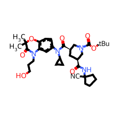 CC(C)(C)OC(=O)N1C[C@@H](C(=O)NC2(C#N)CCCC2)C[C@@H](C(=O)N(c2ccc3c(c2)N(CCCO)C(=O)C(C)(C)O3)C2CC2)C1